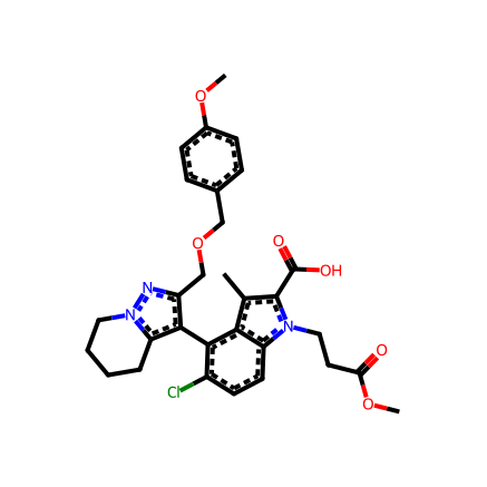 COC(=O)CCn1c(C(=O)O)c(C)c2c(-c3c(COCc4ccc(OC)cc4)nn4c3CCCC4)c(Cl)ccc21